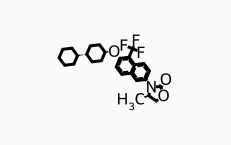 C[C@@H]1COC(=O)N1c1ccc2c(C(F)(F)F)c(O[C@H]3CC[C@@H](C4CCCCC4)CC3)ccc2c1